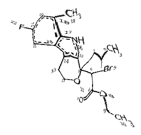 CCCC1(C(Br)C(=O)OCC)OCCc2c1[nH]c1c(C)cc(F)cc21